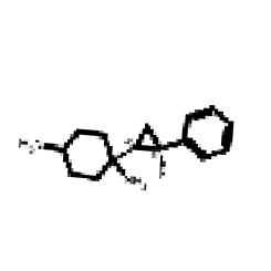 NC1CCC(N)([C@H]2C[C@]2(F)c2ccccc2)CC1